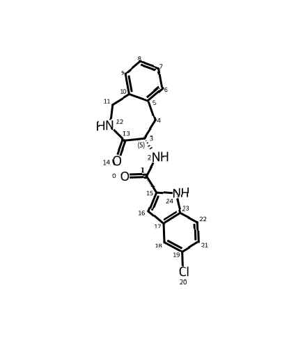 O=C(N[C@H]1Cc2ccccc2CNC1=O)c1cc2cc(Cl)ccc2[nH]1